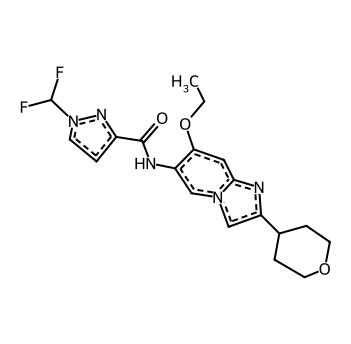 CCOc1cc2nc(C3CCOCC3)cn2cc1NC(=O)c1ccn(C(F)F)n1